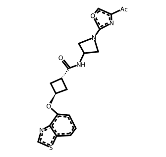 CC(=O)c1coc(N2CC(NC(=O)[C@H]3C[C@H](Oc4cccc5scnc45)C3)C2)n1